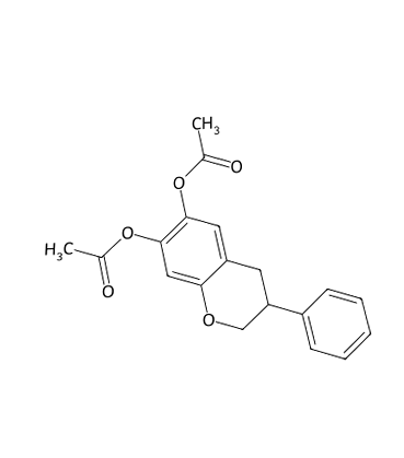 CC(=O)Oc1cc2c(cc1OC(C)=O)OCC(c1ccccc1)C2